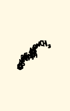 CCCCCOc1ccc(NC(=S)NC(=O)c2nc3ccccc3s2)cn1